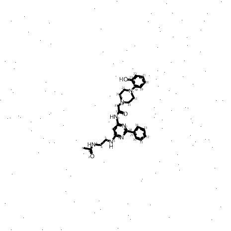 CC(=O)NCCNc1cc(NC(=O)CN2CCN(c3ccccc3O)CC2)nc(-c2ccccc2)n1